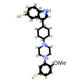 COc1ccc(F)cc1N1CCN(C2CCC(c3c[nH]c4ccc(F)cc34)CC2)CC1